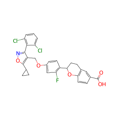 O=C(O)c1ccc2c(c1)CCC(c1ccc(OCc3c(-c4c(Cl)cccc4Cl)noc3C3CC3)cc1F)O2